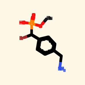 CCC(C)OP(=O)(O)C(Br)c1ccc(CN)cc1